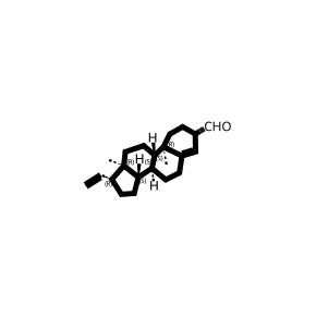 C=C[C@H]1CC[C@H]2[C@@H]3CCC4=CC(C=O)CC[C@]4(C)[C@H]3CC[C@]12C